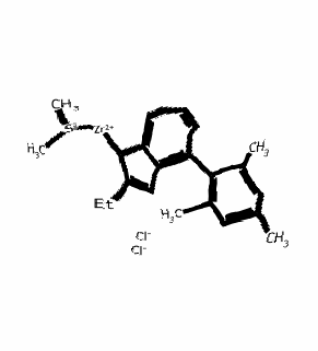 CCC1=Cc2c(-c3c(C)cc(C)cc3C)cccc2[CH]1[Zr+2][Si](C)C.[Cl-].[Cl-]